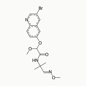 CON=CC(C)(C)NC(=O)C(OC)Oc1ccc2ncc(Br)cc2c1